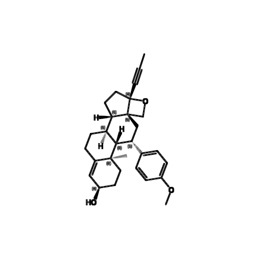 CC#C[C@]12CC[C@H]3[C@@H]4CCC5=C[C@H](O)CC[C@]5(C)[C@H]4[C@@H](c4ccc(OC)cc4)C[C@@]31CO2